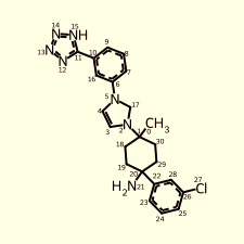 CC1(N2C=CN(c3cccc(-c4nnn[nH]4)c3)C2)CCC(N)(c2cccc(Cl)c2)CC1